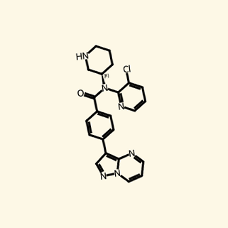 O=C(c1ccc(-c2cnn3cccnc23)cc1)N(c1ncccc1Cl)[C@@H]1CCCNC1